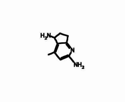 Cc1cc(N)nc2c1C(N)CC2